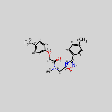 Cc1ccc(-c2noc(CN(C(=O)COc3ccc(C(F)(F)F)cc3)C(C)C)n2)cc1